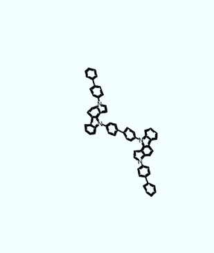 c1ccc(-c2ccc(-n3ccc4c3ccc3c5ccccc5n(-c5ccc(-c6ccc(-n7c8ccccc8c8ccc9c(ccn9-c9ccc(-c%10ccccc%10)cc9)c87)cc6)cc5)c34)cc2)cc1